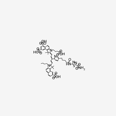 CCCC[N+]1=C(/C=C/C(=C/C=C2/N(CCCS(=O)(=O)O)c3ccc4c(S(=O)(=O)O)cc(S(=O)(=O)O)cc4c3C2(C)C)c2ccc(CCCCC(=O)Nc3nnc(S(N)(=O)=O)s3)cn2)C(C)(C)c2c1ccc1ccc(S(=O)(=O)O)cc21